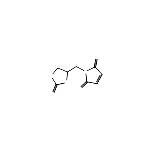 O=C1OC(CN2C(=O)C=CC2=O)CS1